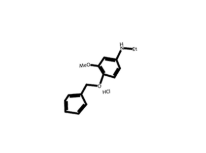 CCNc1ccc(OCc2ccccc2)c(OC)c1.Cl